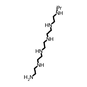 CC(C)NCCNCCNCCNCCNCCN